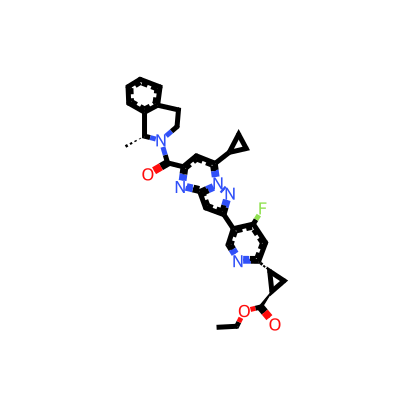 CCOC(=O)[C@@H]1C[C@H]1c1cc(F)c(-c2cc3nc(C(=O)N4CCc5ccccc5[C@H]4C)cc(C4CC4)n3n2)cn1